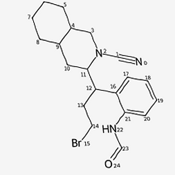 N#CN1CC2CCCCC2CC1C(CCBr)c1ccccc1NC=O